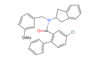 COc1cccc(CN(C(=O)c2cc(Cl)ccc2-c2ccccc2)C2Cc3ccccc3C2)c1